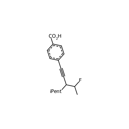 CCCC(C)C(C#Cc1ccc(C(=O)O)cc1)C(C)F